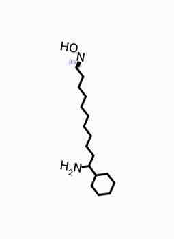 NC(CCCCCCCCC/C=N/O)C1CCCCC1